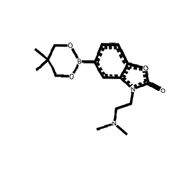 CN(C)CCn1c(=O)oc2ccc(B3OCC(C)(C)CO3)cc21